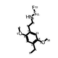 CCc1cc(OC)c(CCNSF)cc1OC